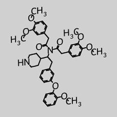 COc1ccc(CC(=O)N(C(=O)Cc2ccc(OC)c(OC)c2)C(Cc2cccc(Oc3ccccc3OC)c2)C2CCNCC2)cc1OC